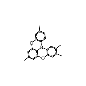 Cc1ccc2c(c1)Oc1cc(C)cc3c1B2c1cc(C)c(C)cc1O3